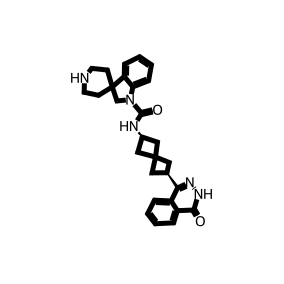 O=C(N[C@H]1CC2(C1)C[C@H](c1n[nH]c(=O)c3ccccc31)C2)N1CC2(CCNCC2)c2ccccc21